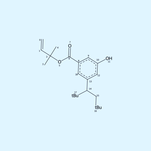 C=CC(C)(C)OC(=O)c1cc(O)cc(C(CC(C)(C)C)C(C)(C)C)c1